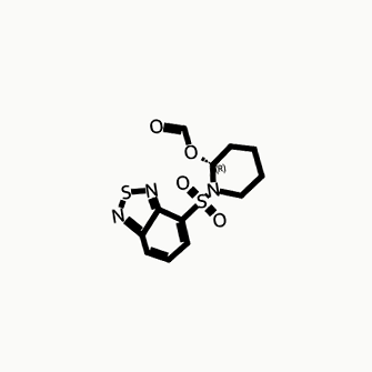 O=CO[C@@H]1CCCCN1S(=O)(=O)c1cccc2nsnc12